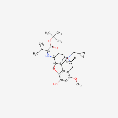 COc1cc(O)c2c3c1C[C@@H]1[C@@H]4CC[C@H](N[C@H](C(=O)OC(C)(C)C)C(C)C)[C@H](O2)[C@]34CCN1CC1CC1